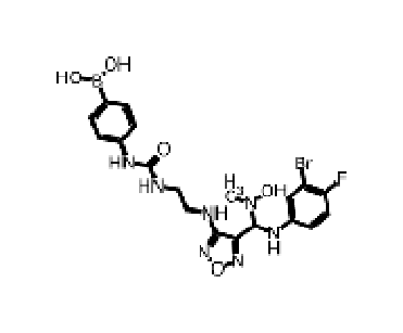 CN(O)C(Nc1ccc(F)c(Br)c1)c1nonc1NCCNC(=O)Nc1ccc(B(O)O)cc1